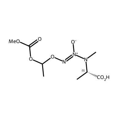 COC(=O)OC(C)ON=[N+]([O-])N(C)[C@@H](C)C(=O)O